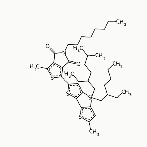 CCCCCCCCN1C(=O)c2c(C)sc(-c3cc4c(s3)-c3sc(C)cc3[Si]4(CC(CC)CCCC)CC(CC)CCC(C)C)c2C1=O